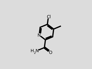 Cc1cc(C(N)=O)ncc1Cl